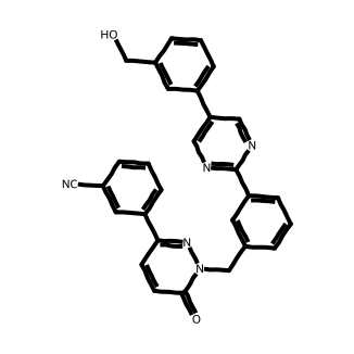 N#Cc1cccc(-c2ccc(=O)n(Cc3cccc(-c4ncc(-c5cccc(CO)c5)cn4)c3)n2)c1